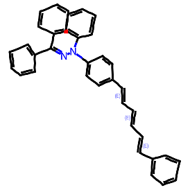 C(=C\C=C\c1ccc(N(N=C(c2ccccc2)c2ccccc2)c2ccccc2)cc1)/C=C/c1ccccc1